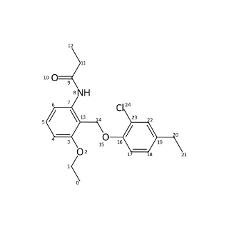 CCOc1cccc(NC(=O)CC)c1COc1ccc(CC)cc1Cl